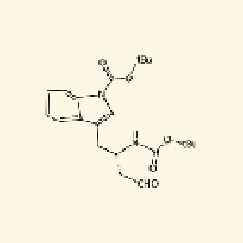 CC(C)(C)OC(=O)N[C@H](CC=O)Cc1cn(C(=O)OC(C)(C)C)c2ccccc12